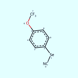 N#C[Se]c1ccc(OC(F)(F)F)cc1